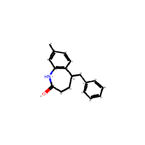 Cc1ccc2c(c1)NC(=O)CCC2Cc1ccccc1